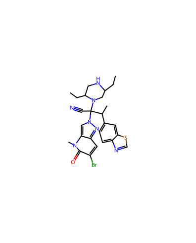 CCC1CN(C(C#N)(C(C)c2ccc3ncsc3c2)n2cc3c(cc(Br)c(=O)n3C)n2)C(CC)CN1